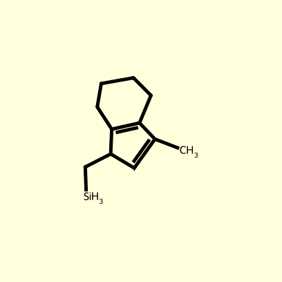 CC1=[C]C(C[SiH3])C2=C1CCCC2